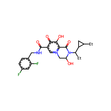 CCC1CC1C(CC)N1C(=O)c2c(O)c(=O)c(C(=O)NCc3ccc(F)cc3F)cn2CC1O